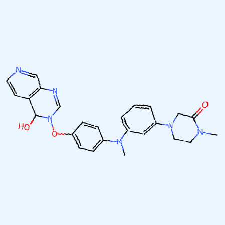 CN1CCN(c2cccc(N(C)c3ccc(ON4C=Nc5cnccc5C4O)cc3)c2)CC1=O